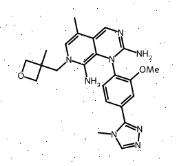 COc1cc(-c2nncn2C)ccc1N1C(N)=NC=C2C(C)=CN(CC3(C)COC3)C(N)=C21